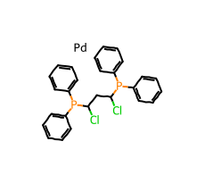 ClC(CC(Cl)P(c1ccccc1)c1ccccc1)P(c1ccccc1)c1ccccc1.[Pd]